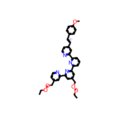 CCOOCc1ccnc(-c2cc(COOCC)cc(-c3cccc(-c4cc(/C=C/c5ccc(OC)cc5)ccn4)n3)n2)c1